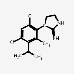 Cc1c(C(C)C)c(Cl)cc(Cl)c1N1CCNC1=N